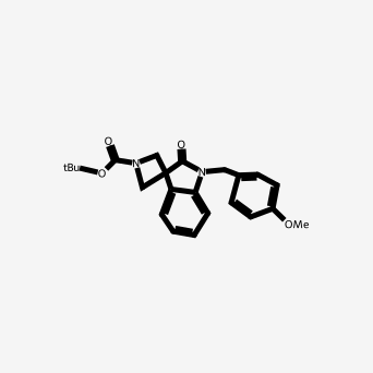 COc1ccc(CN2C(=O)C3(CN(C(=O)OC(C)(C)C)C3)c3ccccc32)cc1